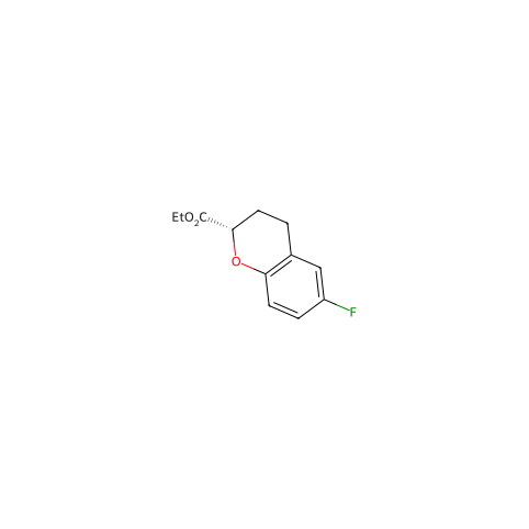 CCOC(=O)[C@@H]1CCc2cc(F)ccc2O1